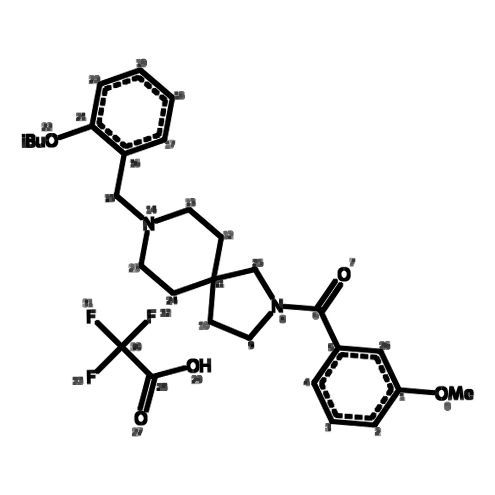 COc1cccc(C(=O)N2CCC3(CCN(Cc4ccccc4OCC(C)C)CC3)C2)c1.O=C(O)C(F)(F)F